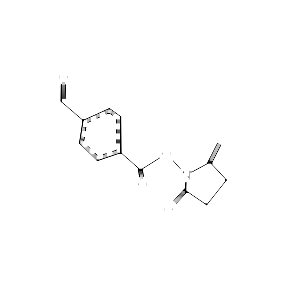 O=Cc1ccc(C(=O)ON2C(=O)CCC2=O)cc1